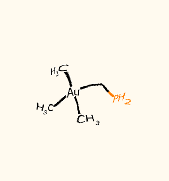 [CH3][Au]([CH3])([CH3])[CH2]P